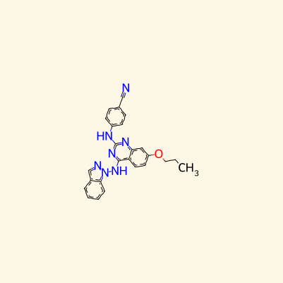 CCCOc1ccc2c(Nn3ncc4ccccc43)nc(Nc3ccc(C#N)cc3)nc2c1